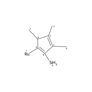 CC1=C(C)C(C)[C]([Ru])=C1[SiH3]